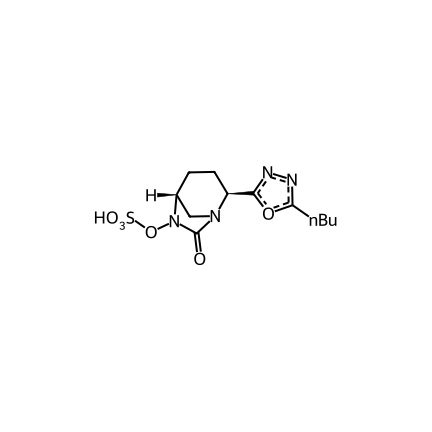 CCCCc1nnc([C@@H]2CC[C@@H]3CN2C(=O)N3OS(=O)(=O)O)o1